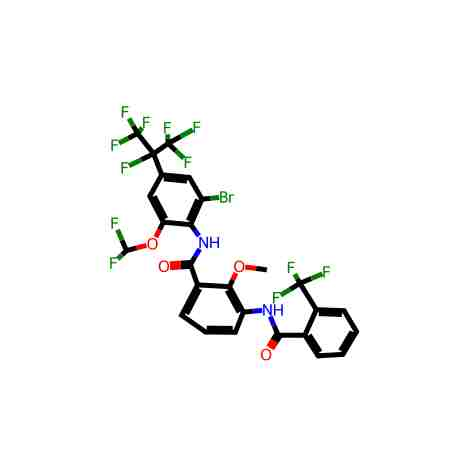 COc1c(NC(=O)c2ccccc2C(F)(F)F)cccc1C(=O)Nc1c(Br)cc(C(F)(C(F)(F)F)C(F)(F)F)cc1OC(F)F